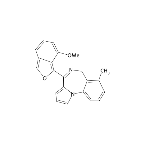 COc1cccc2coc(C3=NCc4c(C)cccc4-n4cccc43)c12